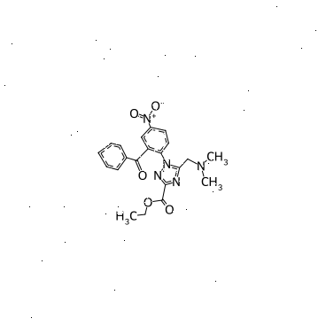 CCOC(=O)c1nc(CN(C)C)n(-c2ccc([N+](=O)[O-])cc2C(=O)c2ccccc2)n1